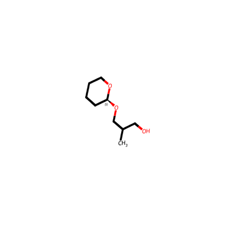 CC(CO)CO[C@H]1CCCCO1